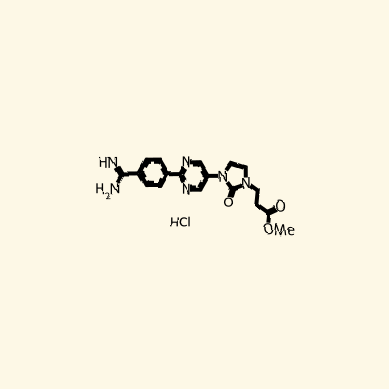 COC(=O)CCN1CCN(c2cnc(-c3ccc(C(=N)N)cc3)nc2)C1=O.Cl